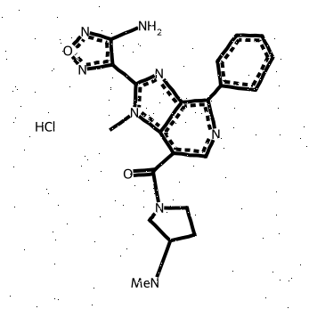 CNC1CCN(C(=O)c2cnc(-c3ccccc3)c3nc(-c4nonc4N)n(C)c23)C1.Cl